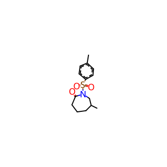 Cc1ccc(S(=O)(=O)N2CC(C)CCCC2=O)cc1